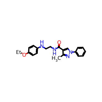 CCOc1ccc(NCCNC(=O)c2cn(-c3ccccc3)nc2C)cc1